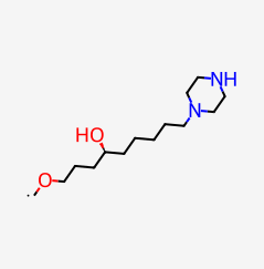 [CH2]OCCC[C@@H](O)CCCCCN1CCNCC1